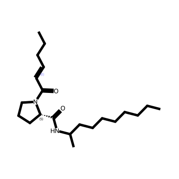 CCC/C=C/C(=O)N1CCC[C@H]1C(=O)NC(C)CCCCCCCC